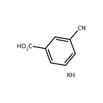 N#Cc1cccc(C(=O)O)c1.[KH]